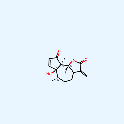 C=C1C(=O)O[C@@H]2C1CC[C@H](C)[C@]1(O)C=CC(=O)[C@@]21C